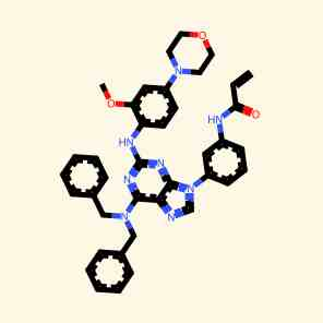 C=CC(=O)Nc1cccc(-n2cnc3c(N(Cc4ccccc4)Cc4ccccc4)nc(Nc4ccc(N5CCOCC5)cc4OC)nc32)c1